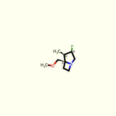 COC[C@]12CCN1C[C@H](F)[C@@H]2C